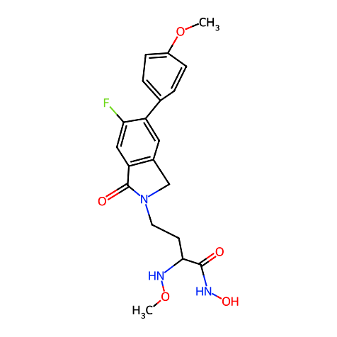 CONC(CCN1Cc2cc(-c3ccc(OC)cc3)c(F)cc2C1=O)C(=O)NO